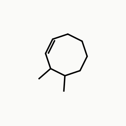 CC1C=CCCCCC1C